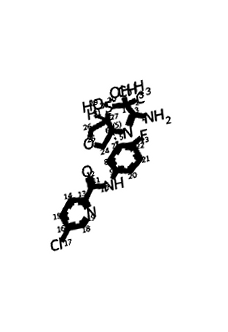 CC1(C)C(N)=N[C@@]2(c3cc(NC(=O)c4ccc(Cl)cn4)ccc3F)COC[C@@H]2S1(O)O